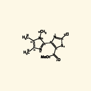 COC(=O)c1sc(Cl)nc1-c1nc(C)c(C)n1C